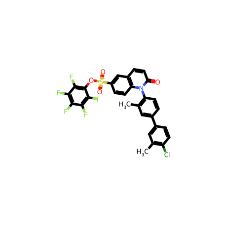 Cc1cc(-c2ccc(-n3c(=O)ccc4cc(S(=O)(=O)Oc5c(F)c(F)c(F)c(F)c5F)ccc43)c(C)c2)ccc1Cl